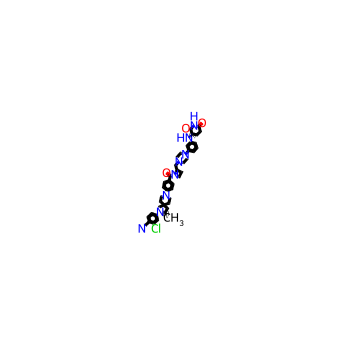 C[C@H]1CC2(CCN(c3ccc(C(=O)N4CCC4CN4CCN(c5cccc(N[C@@H]6CCC(=O)NC6=O)c5)CC4)cc3)CC2)CN1c1ccc(C#N)c(Cl)c1